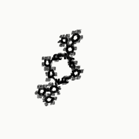 c1ccc(-c2ccc(N3c4ccc(cc4)-c4ccccc4-c4ccc(cc4)N(c4ccc(-c5ccccc5)c(-c5ccccc5)c4)c4ccc(cc4)-c4ccccc4-c4ccc3cc4)cc2-c2ccccc2)cc1